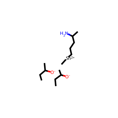 CCC(C)[O-].CCC(C)[O-].[CH3][Sn+2][CH2]CCC(C)N